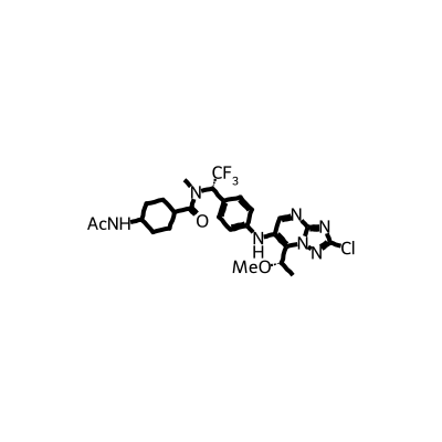 CO[C@@H](C)c1c(Nc2ccc([C@H](N(C)C(=O)C3CCC(NC(C)=O)CC3)C(F)(F)F)cc2)cnc2nc(Cl)nn12